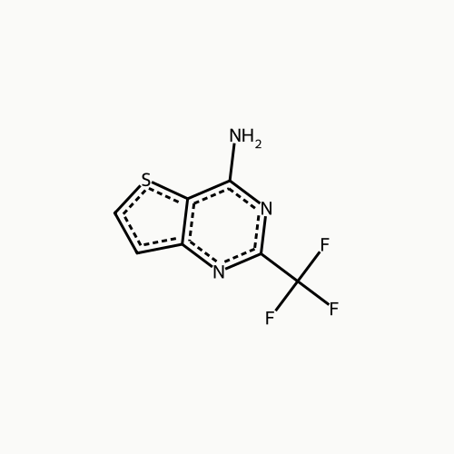 Nc1nc(C(F)(F)F)nc2ccsc12